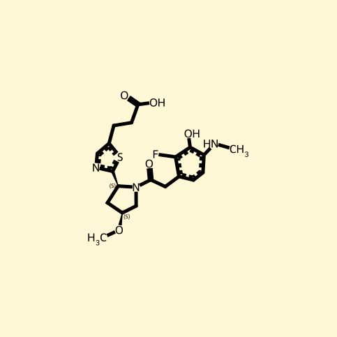 CNc1ccc(CC(=O)N2C[C@@H](OC)C[C@H]2c2ncc(CCC(=O)O)s2)c(F)c1O